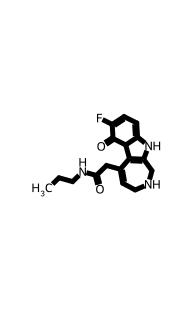 CCCNC(=O)CC1=CCNCC2=C1C1C(=O)C(F)=CC=C1N2